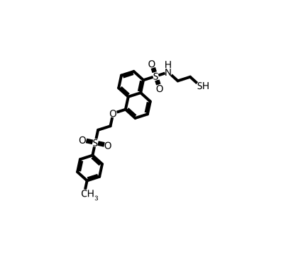 Cc1ccc(S(=O)(=O)CCOc2cccc3c(S(=O)(=O)NCCS)cccc23)cc1